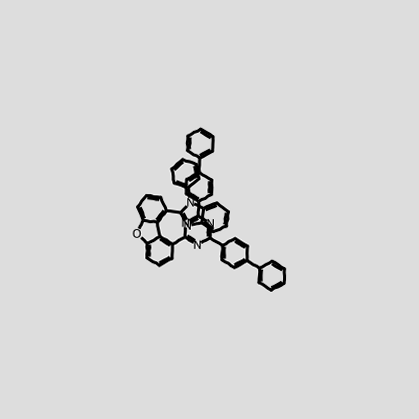 c1ccc(-c2ccc(-c3nc(-c4ccc(-c5ccccc5)cc4)nc(-c4cccc5oc6cccc(-c7nc8ccccc8n7-c7ccccc7)c6c45)n3)cc2)cc1